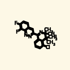 CC1(C)N=C(c2cc3ccc(F)c(F)c3nn2)c2cccc(Cl)c2C1(C)C